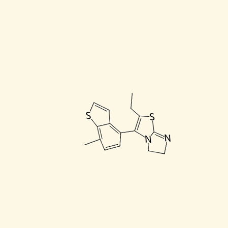 CCC1=C(c2ccc(C)c3sccc23)N2CCN=C2S1